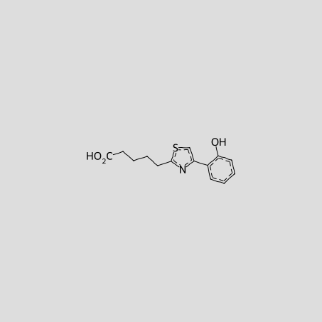 O=C(O)CCCCc1nc(-c2ccccc2O)cs1